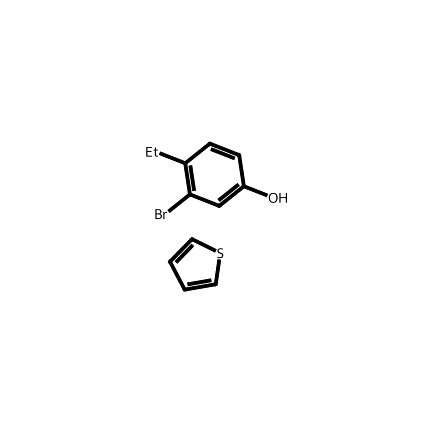 CCc1ccc(O)cc1Br.c1ccsc1